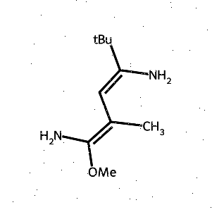 CO/C(N)=C(C)/C=C(\N)C(C)(C)C